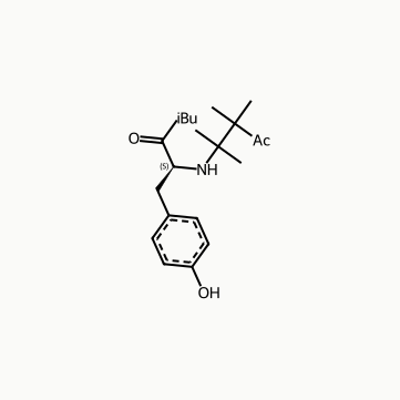 CCC(C)C(=O)[C@H](Cc1ccc(O)cc1)NC(C)(C)C(C)(C)C(C)=O